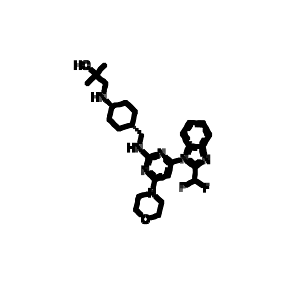 CC(C)(O)CN[C@H]1CC[C@H](CNc2nc(N3CCOCC3)cc(-n3c(C(F)F)nc4ccccc43)n2)CC1